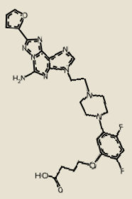 Nc1nc2c(ncn2CCN2CCN(c3cc(OCCCC(=O)O)c(F)cc3F)CC2)c2nc(-c3ccco3)nn12